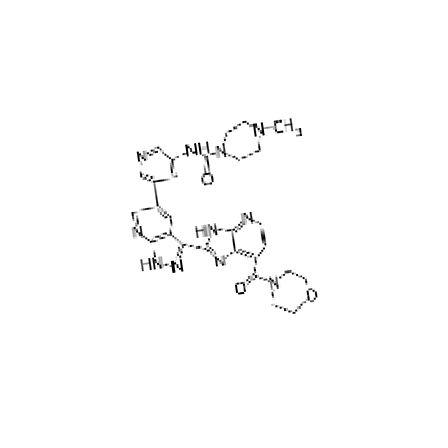 CN1CCN(C(=O)Nc2cncc(-c3cnc4[nH]nc(-c5nc6c(C(=O)N7CCOCC7)ccnc6[nH]5)c4c3)c2)CC1